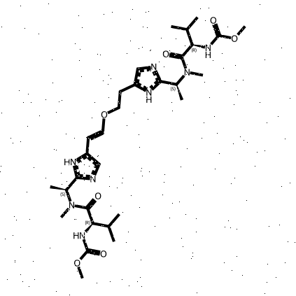 COC(=O)N[C@@H](C(=O)N(C)[C@@H](C)c1ncc(C=COCCc2cnc([C@H](C)N(C)C(=O)[C@H](NC(=O)OC)C(C)C)[nH]2)[nH]1)C(C)C